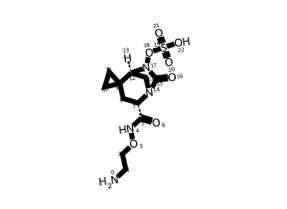 NCCONC(=O)[C@@H]1CC2(CC2)[C@@H]2CN1C(=O)N2OS(=O)(=O)O